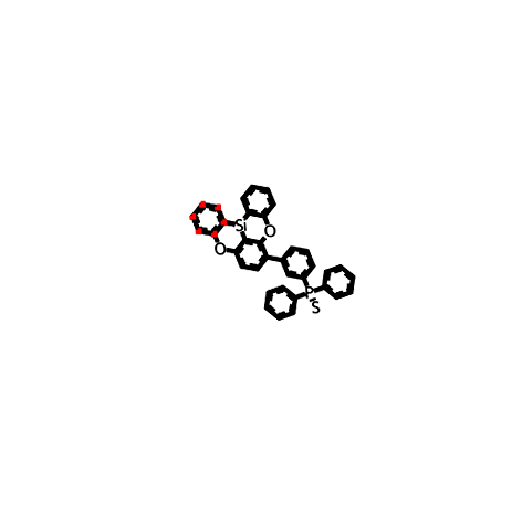 S=P(c1ccccc1)(c1ccccc1)c1cccc(-c2ccc3c4c2Oc2ccccc2[Si]4(c2ccccc2)c2ccccc2O3)c1